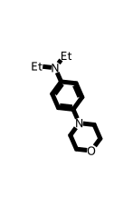 CCN(CC)c1ccc(N2CCOCC2)cc1